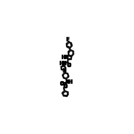 O=C(NC1CCC(N2CC[C@H](NC(=O)c3cc4ccc(-c5ccc(F)cc5)cc4[nH]3)C2)CC1)OCc1ccccc1